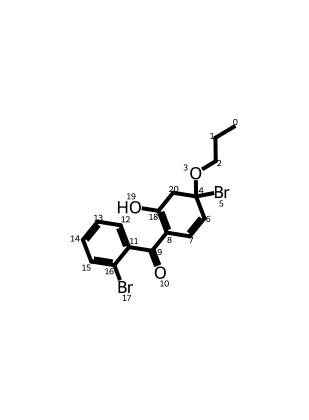 CCCOC1(Br)C=CC(C(=O)c2ccccc2Br)=C(O)C1